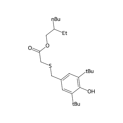 CCCCC(CC)COC(=O)CSCc1cc(C(C)(C)C)c(O)c(C(C)(C)C)c1